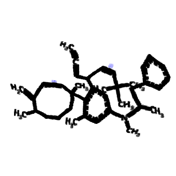 C=C=CC(/C=C\C(C)(C)C)c1cc(N(C)C(C)Cc2ccccc2)cc(C)c1C1(C)/C=C\C(=C)C(C)CCC1